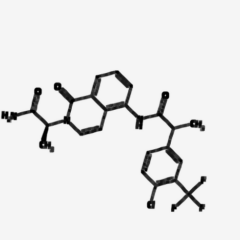 CC(C(=O)Nc1cccc2c(=O)n([C@@H](C)C(N)=O)ccc12)c1ccc(Cl)c(C(F)(F)F)c1